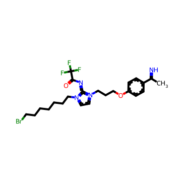 CC(=N)c1ccc(OCCCn2ccn(CCCCCCCBr)/c2=N\C(=O)C(F)(F)F)cc1